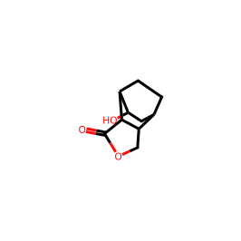 O=C1OCC2C3CCC(C(O)C3)C12